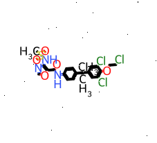 CC(C)(c1ccc(NC(=O)c2ocnc2NS(C)(=O)=O)cc1)c1cc(Cl)c(OCCCl)c(Cl)c1